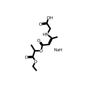 CCOC(=O)C(C)OC(=O)C=C(C)NCC(=O)O.[NaH]